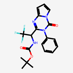 CC(C)(C)OC(=O)NC(c1nc2cccn2c(=O)n1-c1ccccc1)C(F)(F)F